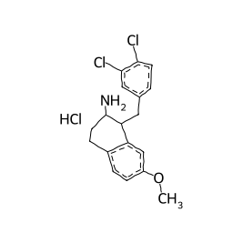 COc1ccc2c(c1)C(Cc1ccc(Cl)c(Cl)c1)C(N)CC2.Cl